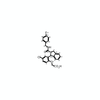 O=C(O)COc1ccc(Cl)cc1C1c2ccccc2CN1C(=O)NCc1ccc(F)cc1